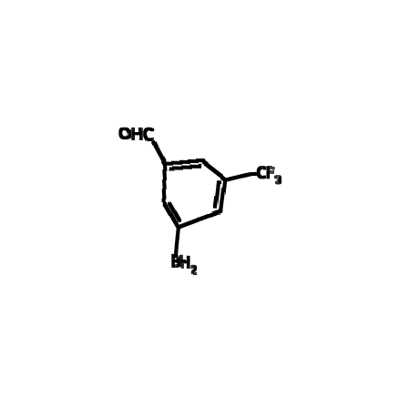 Bc1cc(C=O)cc(C(F)(F)F)c1